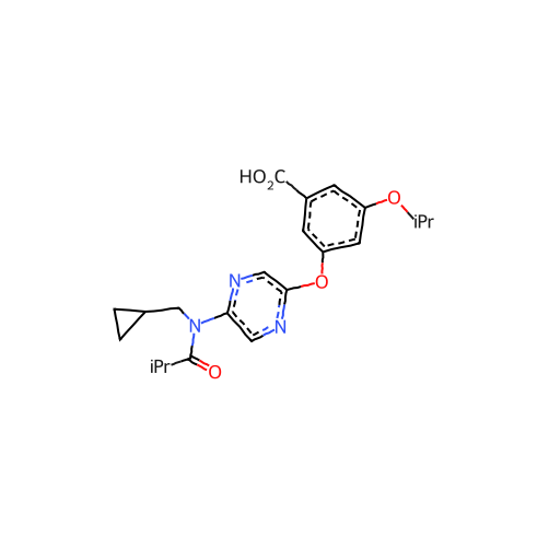 CC(C)Oc1cc(Oc2cnc(N(CC3CC3)C(=O)C(C)C)cn2)cc(C(=O)O)c1